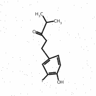 CC(C)C(=O)CCc1ccc(O)c(I)c1